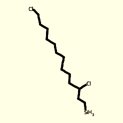 [SiH3]CCC(Cl)CCCCCCCCCCCl